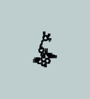 COc1ccc2ncc(CO)c([C@H](O)CCC3(C(=O)NO)CCN(CCCc4cc(F)c(F)c(F)c4)CC3)c2c1